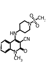 Cn1c(=O)c(C#N)c(NC2CCN(S(C)(=O)=O)CC2)c2ccccc21